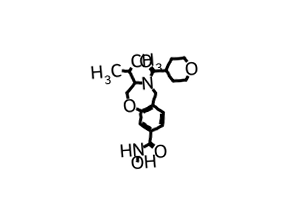 CC(C)C1COc2cc(C(=O)NO)ccc2CN1C(=O)C1CCOCC1